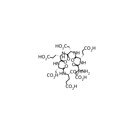 N[C@@H](CC(=O)O)C(=O)N[C@@H](CCC(=O)O)C(=O)N[C@@H](CC(=O)O)C(=O)N[C@@H](CCC(=O)O)C(=O)N[C@@H](CC(=O)O)C(=O)N[C@@H](CCC(=O)O)C(=O)O